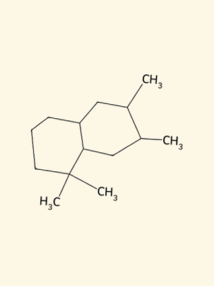 CC1CC2CCCC(C)(C)C2CC1C